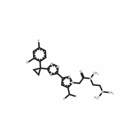 CN(C)CCN(C)C(=O)Cn1nc(-c2nc(C3(c4ccc(F)cc4Cl)CC3)no2)cc1C(F)F